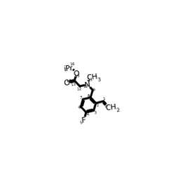 C=Cc1cc(F)ccc1CN(C)CC(=O)OC(C)C